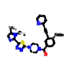 COc1ccc(C(=O)N2CCN(c3nnc(-c4ncc([N+](=O)[O-])n4C)s3)CC2)cc1C#Cc1ccccn1